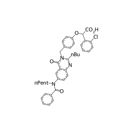 CCCCCN(C(=O)c1ccccc1)c1ccc2nc(CCCC)n(Cc3ccc(OC(C(=O)O)c4ccccc4Cl)cc3)c(=O)c2c1